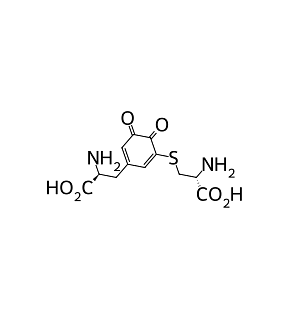 N[C@@H](CSC1=CC(C[C@H](N)C(=O)O)=CC(=O)C1=O)C(=O)O